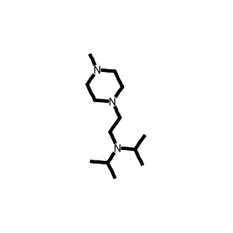 CC(C)N(CCN1CCN(C)CC1)C(C)C